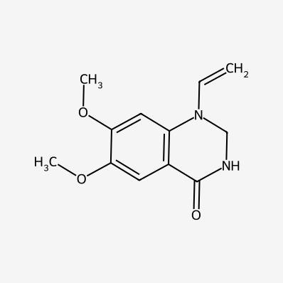 C=CN1CNC(=O)c2cc(OC)c(OC)cc21